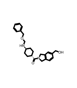 O=C([C@H]1CC[C@H](NCOCc2ccccc2)CC1)N1Cc2ccc(CO)cc2C1